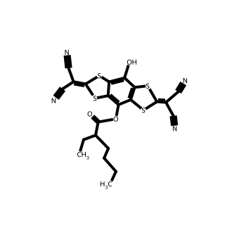 CCCCC(CC)C(=O)Oc1c2c(c(O)c3c1SC(=C(C#N)C#N)S3)SC(=C(C#N)C#N)S2